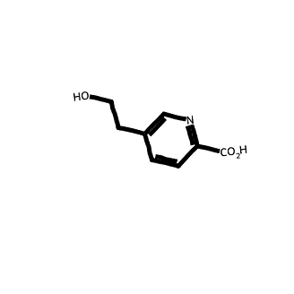 O=C(O)c1ccc(CCO)cn1